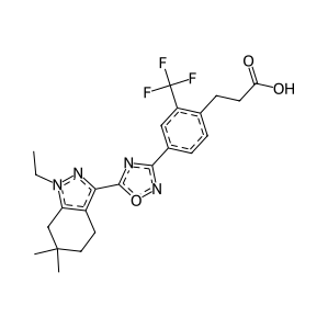 CCn1nc(-c2nc(-c3ccc(CCC(=O)O)c(C(F)(F)F)c3)no2)c2c1CC(C)(C)CC2